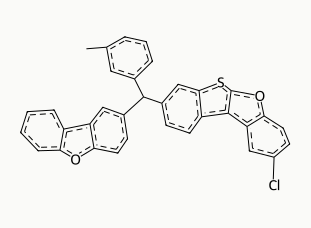 Cc1cccc(C(c2ccc3c(c2)sc2oc4ccc(Cl)cc4c23)c2ccc3oc4ccccc4c3c2)c1